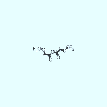 O=C(COC(F)(F)F)OC(=O)COC(F)(F)F